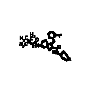 CC(C)(C)CC(=O)Nc1ccc2c(c1)cc(C(=O)Nc1ccncc1)n2Cc1ccccc1F